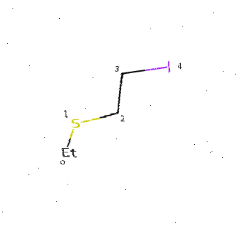 CCSCCI